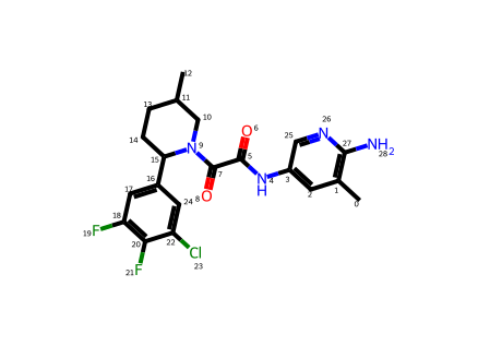 Cc1cc(NC(=O)C(=O)N2CC(C)CCC2c2cc(F)c(F)c(Cl)c2)cnc1N